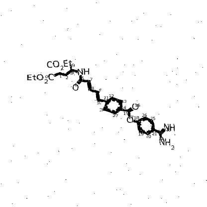 CCOC(=O)CC[C@H](NC(=O)C=CC=Cc1ccc(C(=O)Oc2ccc(C(=N)N)cc2)cc1)C(=O)OCC